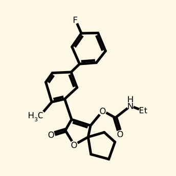 CCNC(=O)OC1=C(c2cc(-c3cccc(F)c3)ccc2C)C(=O)OC12CCCC2